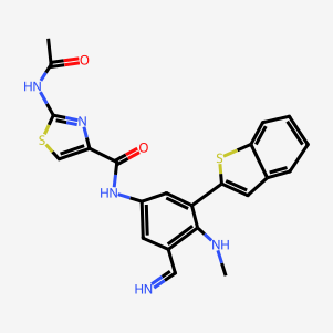 CNc1c(C=N)cc(NC(=O)c2csc(NC(C)=O)n2)cc1-c1cc2ccccc2s1